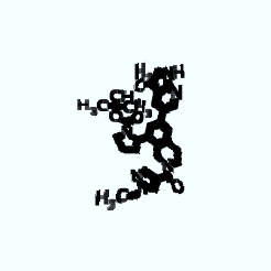 CCn1cc(C(=O)N2CCc3cc(-c4cnc5[nH]cc(C)c5c4)cc(C4CCCN4C(=O)OC(C)(C)C)c3C2)cn1